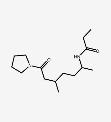 CCC(=O)NC(C)CCC(C)CC(=O)N1CCCC1